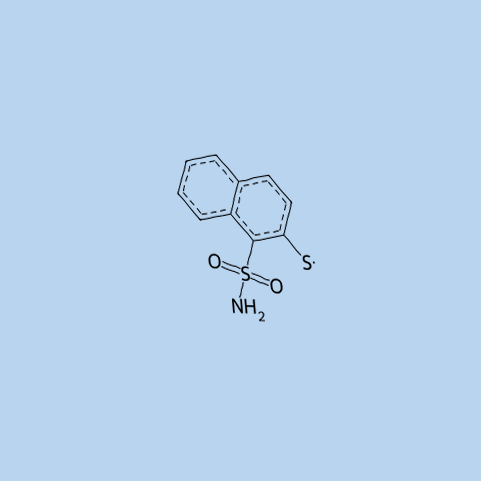 NS(=O)(=O)c1c([S])ccc2ccccc12